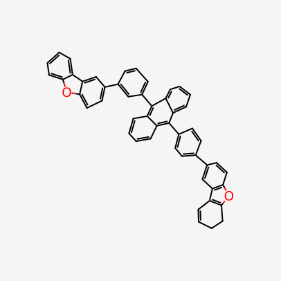 C1=Cc2c(oc3ccc(-c4ccc(-c5c6ccccc6c(-c6cccc(-c7ccc8oc9ccccc9c8c7)c6)c6ccccc56)cc4)cc23)CC1